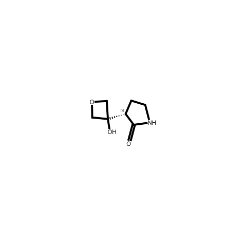 O=C1NCC[C@H]1C1(O)COC1